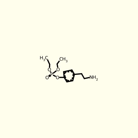 CCOP(=O)(OCC)Oc1ccc(CCN)cc1